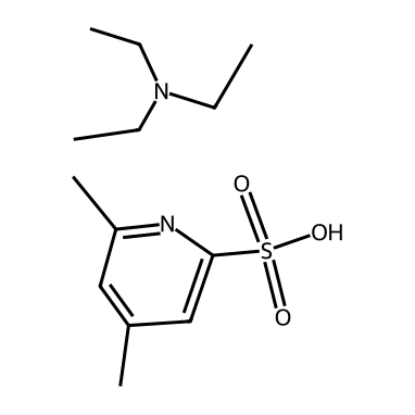 CCN(CC)CC.Cc1cc(C)nc(S(=O)(=O)O)c1